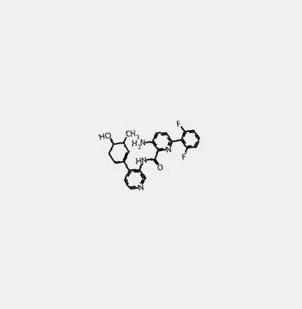 CC1C=C(c2ccncc2NC(=O)c2nc(-c3c(F)cccc3F)ccc2N)CCC1O